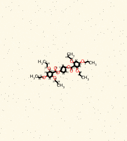 CCCOc1cc(OCCC)c(C(=O)Oc2ccc(OC(=O)c3c(OCCC)cc(OCCC)cc3OCCC)cc2)c(OCCC)c1